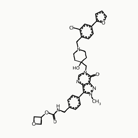 Cn1nc2c(=O)n(CC3(O)CCN(Cc4ccc(-c5ccco5)cc4Cl)CC3)cnc2c1-c1ccc(CNC(=O)OC2COC2)cc1